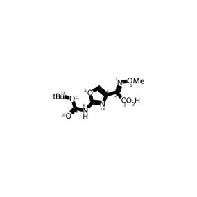 CON=C(C(=O)O)c1coc(NC(=O)OC(C)(C)C)n1